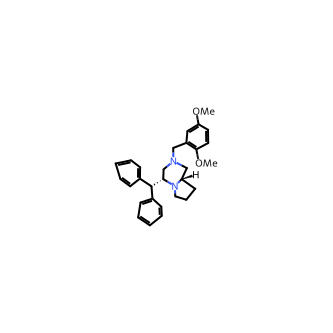 COc1ccc(OC)c(CN2C[C@@H]3CCCN3[C@H](C(c3ccccc3)c3ccccc3)C2)c1